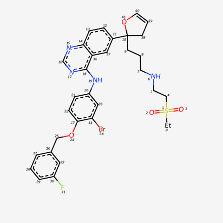 CCS(=O)(=O)CCNCCCC1(c2ccc3ncnc(Nc4ccc(OCc5cccc(F)c5)c(Br)c4)c3c2)CC=CO1